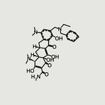 CCN(Cc1ccccc1)Cc1cc(N(C)C)c2c(c1O)C(=O)C1=C(O)[C@]3(O)C(=O)C(C(N)=O)=C(O)[C@@H](N(C)C)[C@@H]3C[C@@H]1C2